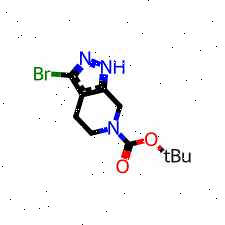 CC(C)(C)OC(=O)N1CCc2c(Br)n[nH]c2C1